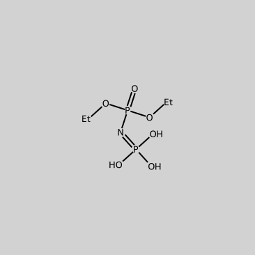 CCOP(=O)(N=P(O)(O)O)OCC